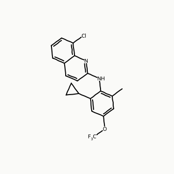 Cc1cc(OC(F)(F)F)cc(C2CC2)c1Nc1ccc2cccc(Cl)c2n1